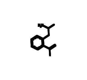 C=C(C)c1ccccc1CC(C)N